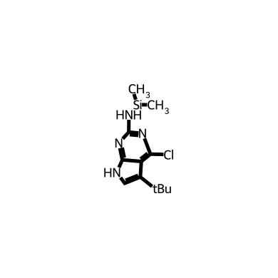 C[SiH](C)Nc1nc(Cl)c2c(C(C)(C)C)c[nH]c2n1